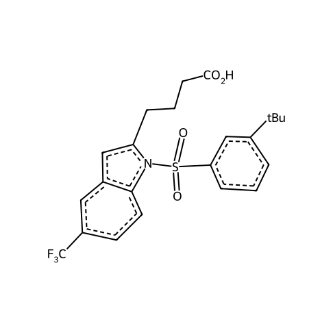 CC(C)(C)c1cccc(S(=O)(=O)n2c(CCCC(=O)O)cc3cc(C(F)(F)F)ccc32)c1